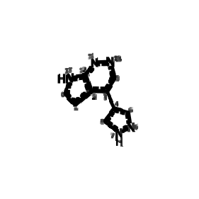 c1cc2c(-c3cn[nH]c3)cnnc2[nH]1